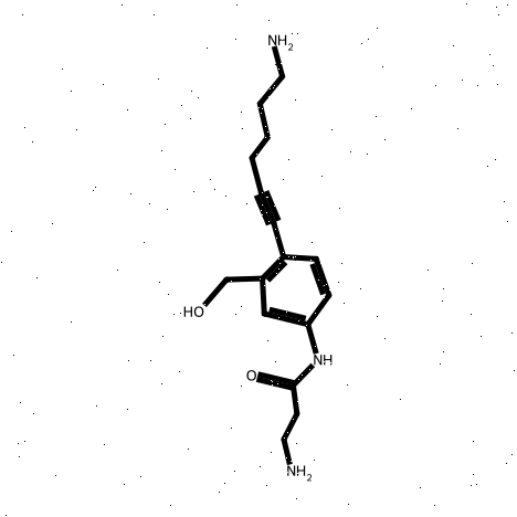 NCCCCC#Cc1ccc(NC(=O)CCN)cc1CO